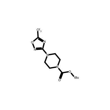 CC(C)(C)OC(=O)N1CCN(c2noc(C(F)(F)F)n2)CC1